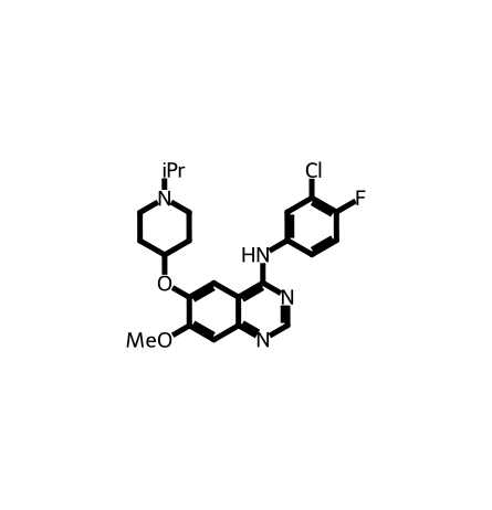 COc1cc2ncnc(Nc3ccc(F)c(Cl)c3)c2cc1OC1CCN(C(C)C)CC1